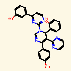 Oc1ccc(C2=C(c3ncccn3)C(c3ccccc3O)N(c3nccc(-c4cccc(O)c4)n3)[C]=N2)cc1